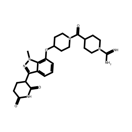 Cn1nc(C2CCC(=O)NC2=O)c2cccc(OC3CCN(C(=O)C4CCN(C(=N)N)CC4)CC3)c21